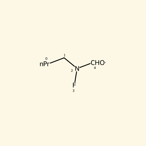 CCCCN(F)[C]=O